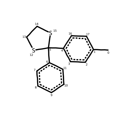 Cc1ccc(C2(c3ccccc3)SCCS2)cc1